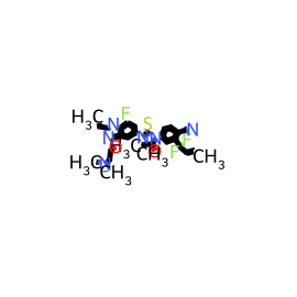 C/C=C/C(F)(F)c1cc(N2C(=O)C(C)(C)N(c3cc(F)c4nc(CC)nc(OCCN(C)C)c4c3)C2=S)ccc1C#N